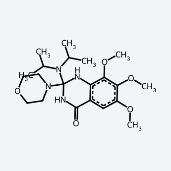 COc1cc2c(c(OC)c1OC)NC(N1CCOCC1)(N(C(C)C)C(C)C)NC2=O